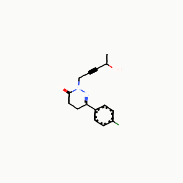 CC(O)C#CCN1N=C(c2ccc(Cl)cc2)CCC1=O